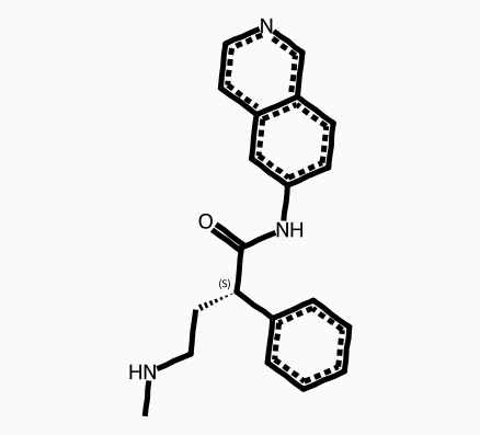 CNCC[C@H](C(=O)Nc1ccc2cnccc2c1)c1ccccc1